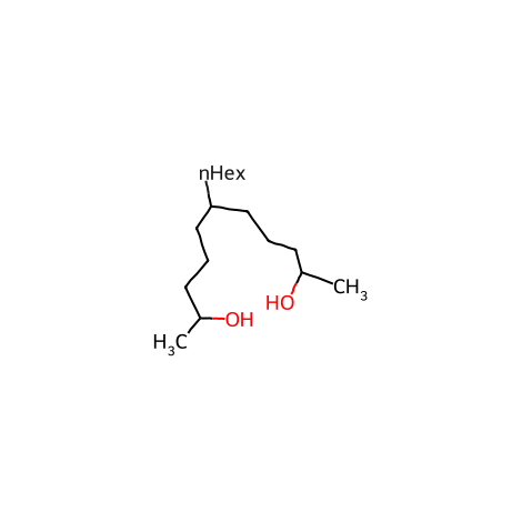 CCCCCCC(CCCC(C)O)CCCC(C)O